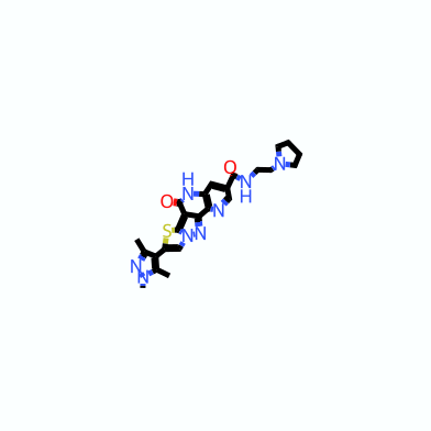 Cc1nn(C)c(C)c1-c1cn2nc3c4ncc(C(=O)NCCN5CCCC5)cc4[nH]c(=O)c3c2s1